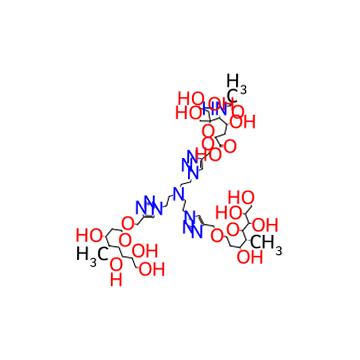 CC(=O)N[C@@H]1[C@H](O)C[C@](OCc2cn(CCN(CCn3cc(CO[C@@H]4C[C@@H](O)[C@@H](C)C(C(O)C(O)CO)O4)nn3)CCn3cc(CO[C@@H]4C[C@@H](O)[C@@H](C)C(C(O)C(O)CO)O4)nn3)nn2)(C(=O)O)OC1(CO)C(O)CO